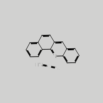 N=C=S.c1ccc2nc3c(ccc4ccccc43)cc2c1